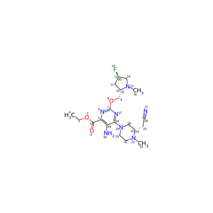 CCOC(=O)c1nc(OC[C@@H]2C[C@@H](F)CN2C)nc(N2CCN(C)[C@@H](CC#N)C2)c1N